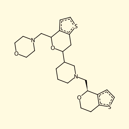 c1cc2c(s1)CC(C1CCCN(C[C@@H]3OCCc4sccc43)C1)OC2CN1CCOCC1